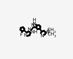 CN(C)c1cncc(-c2ccc3[nH]nc(-c4nc5c(-c6ccccc6F)nccc5[nH]4)c3c2)c1